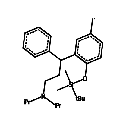 [CH2]c1ccc(O[Si](C)(C)C(C)(C)C)c(C(CCN(C(C)C)C(C)C)c2ccccc2)c1